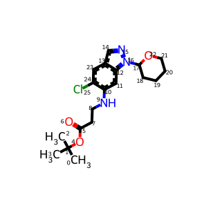 CC(C)(C)OC(=O)CCNc1cc2c(cnn2C2CCCCO2)cc1Cl